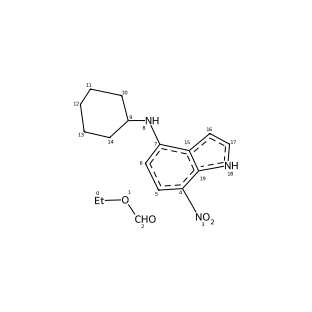 CCOC=O.O=[N+]([O-])c1ccc(NC2CCCCC2)c2cc[nH]c12